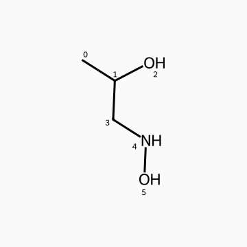 CC(O)CNO